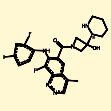 Cc1cnnc2c(F)c(Nc3ccc(I)cc3F)c(C(=O)N3CC(O)([C@@H]4CCCCN4)C3)cc12